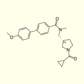 COc1ccc(-c2ccc(C(=O)N(C)C[C@@H]3CCN(C(=O)C4CC4)C3)cc2)cc1